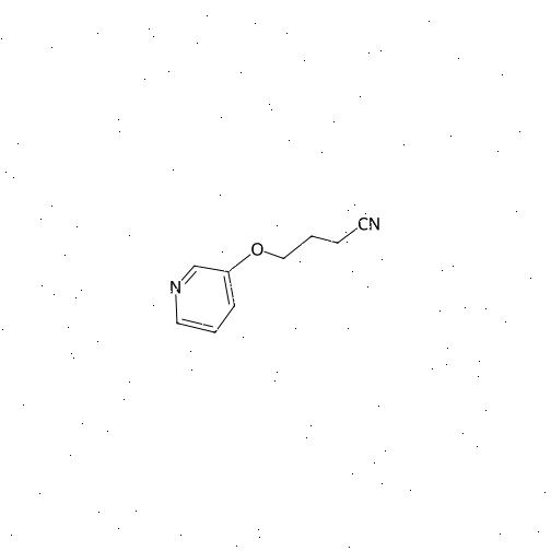 N#CCCCOc1cccnc1